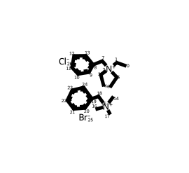 CC[N+](CC)(CC)Cc1ccccc1.C[N+](C)(C)Cc1ccccc1.[Br-].[Cl-]